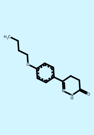 CCCCOc1ccc(C2=NNC(=O)CC2)cc1